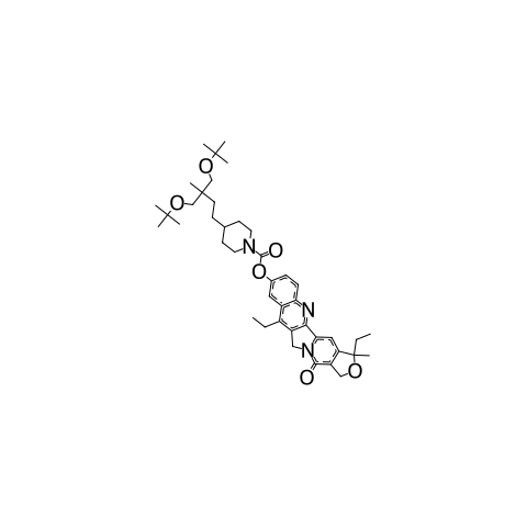 CCc1c2c(nc3ccc(OC(=O)N4CCC(CCC(C)(COC(C)(C)C)COC(C)(C)C)CC4)cc13)-c1cc3c(c(=O)n1C2)COC3(C)CC